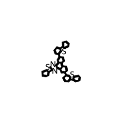 c1ccc2c(c1)sc1c(-c3ccc4c5ccc(-c6cccc7c6sc6ccccc67)cc5c5nc6c(nc5c4c3)sc3ccccc36)cccc12